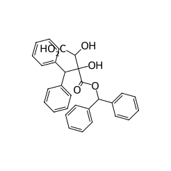 O=C(O)C(O)C(O)(C(=O)OC(c1ccccc1)c1ccccc1)C(c1ccccc1)c1ccccc1